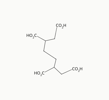 O=C(O)CC(CCC(CC(=O)O)C(=O)O)C(=O)O